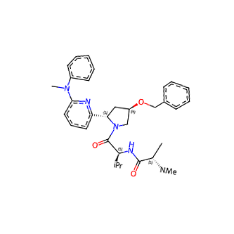 CN[C@@H](C)C(=O)N[C@H](C(=O)N1C[C@H](OCc2ccccc2)C[C@H]1c1cccc(N(C)c2ccccc2)n1)C(C)C